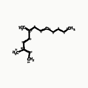 CCCCOCCN(C)CCC(C)CC